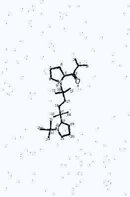 CC(C)C(=O)C1CCCN1C(C)(C)CCC(C)(C)C1CCCN1C(C)(C)C